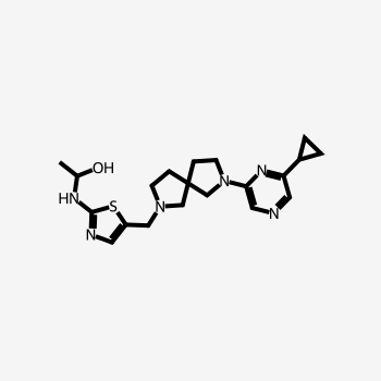 CC(O)Nc1ncc(CN2CCC3(CCN(c4cncc(C5CC5)n4)C3)C2)s1